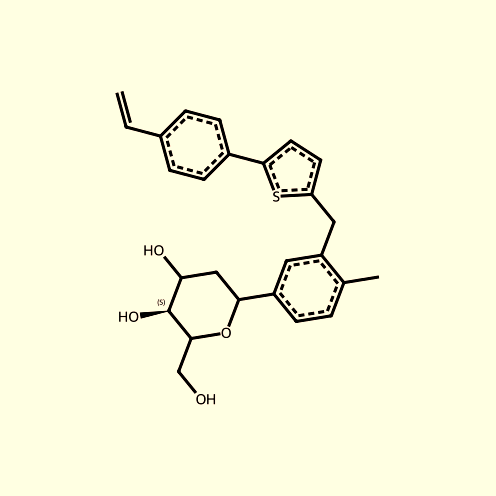 C=Cc1ccc(-c2ccc(Cc3cc(C4CC(O)[C@H](O)C(CO)O4)ccc3C)s2)cc1